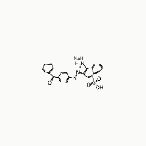 Nc1c(/N=N/c2ccc(C(=O)c3ccccc3)cc2)cc(S(=O)(=O)O)c2ccccc12.[NaH]